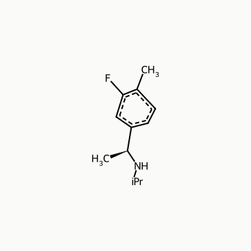 Cc1ccc([C@H](C)NC(C)C)cc1F